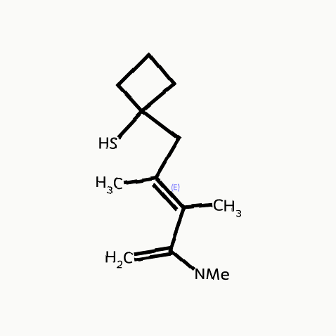 C=C(NC)/C(C)=C(\C)CC1(S)CCC1